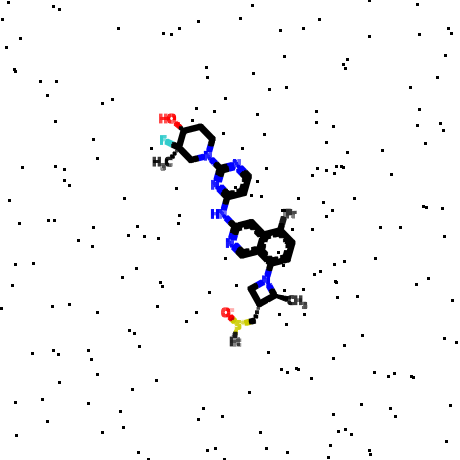 CC[S@@+]([O-])C[C@@H]1CN(c2ccc(C(C)C)c3cc(Nc4ccnc(N5CC[C@H](O)[C@](C)(F)C5)n4)ncc23)[C@H]1C